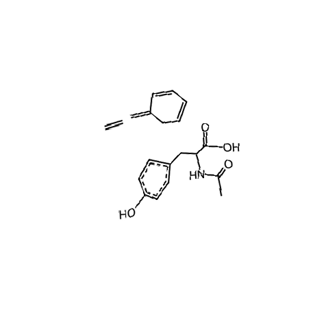 C=C.C=C1C=CC=CC1.CC(=O)NC(Cc1ccc(O)cc1)C(=O)O